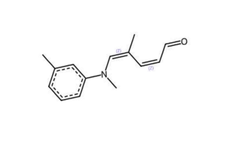 CC(/C=C\C=O)=C/N(C)c1cccc(C)c1